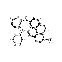 FC(F)(F)c1ccc2cc3c4c(ccc5ccc1c2c54)Oc1ccccc1B3c1ccccc1